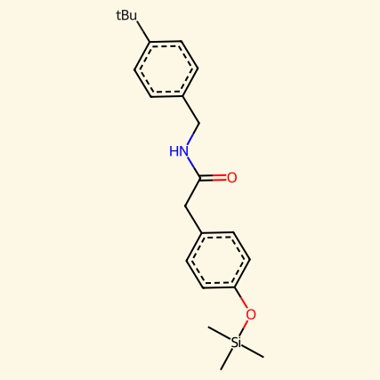 CC(C)(C)c1ccc(CNC(=O)Cc2ccc(O[Si](C)(C)C)cc2)cc1